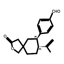 C=C(C)[C@@H]1CCC2(COC(=O)C2)C[C@H]1c1ccc(C=O)cc1